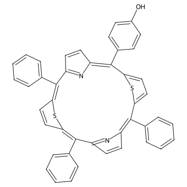 Oc1ccc(-c2c3nc(c(-c4ccccc4)c4ccc(s4)c(-c4ccccc4)c4nc(c(-c5ccccc5)c5ccc2s5)C=C4)C=C3)cc1